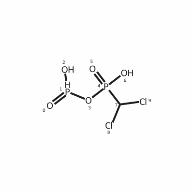 O=[PH](O)OP(=O)(O)C(Cl)Cl